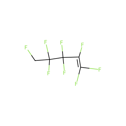 FCC(F)(F)C(F)(F)C(F)=C(F)F